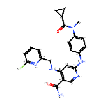 CN(C(=O)C1CC1)c1ccc(Nc2cc(NCc3cccc(F)n3)c(C(N)=O)cn2)cc1